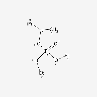 CCOP(=O)(OCC)OC(C)C(C)C